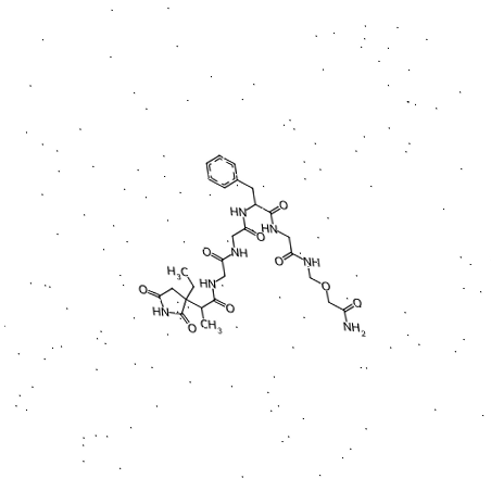 CCC1(C(C)C(=O)NCC(=O)NCC(=O)NC(Cc2ccccc2)C(=O)NCC(=O)NCOCC(N)=O)CC(=O)NC1=O